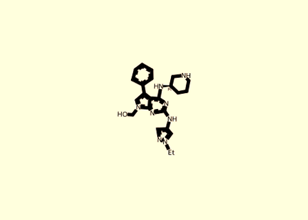 CCn1cc(Nc2nc(N[C@@H]3CCCNC3)c3c(-c4ccccc4)cn(CO)c3n2)cn1